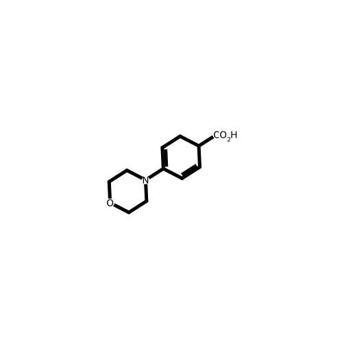 O=C(O)C1C=CC(N2CCOCC2)=CC1